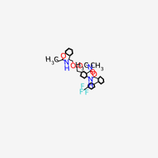 CCC(=O)NC(COC(=O)Cc1ccc(NC(=O)c2ccccc2-c2ccc(C(F)(F)F)cc2)c(C(=O)N(C)C)c1)c1ccccc1